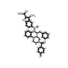 Cc1c(C(=O)O)oc2ccc([S+]([O-])N(CCc3ccccc3)c3ccccc3N3CCN(C(=O)c4ccc(F)cc4)CC3)cc12